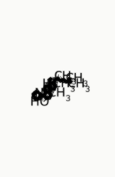 CC(C)CCC[C@@H](C)[C@H]1CC[C@H]2[C@@H]3CC=C4C(C5=CC=CC=CN5)[C@@H](O)CC[C@]4(C)[C@H]3CC[C@]12C